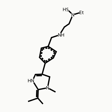 CCN(S)CCNCc1ccc(C2=CNC(=C(C)C)N(C)C2)cc1